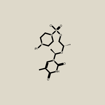 Cc1cn([C@@H](C)O[C@@H](C)COP(=O)(Cl)N2CCN(C(C)C)CC2)c(=O)[nH]c1=O